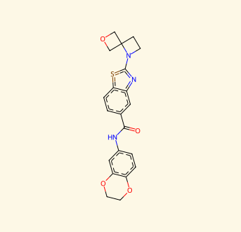 O=C(Nc1ccc2c(c1)OCCO2)c1ccc2sc(N3CCC34COC4)nc2c1